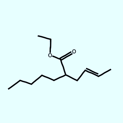 CC=CCC(CCCCC)C(=O)OCC